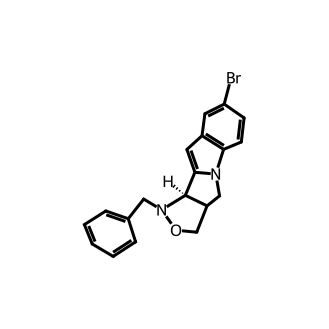 Brc1ccc2c(c1)cc1n2CC2CON(Cc3ccccc3)[C@@H]12